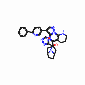 O=C(c1nnc[nH]1)N1C2CCC1CC(c1nc3c(-c4ccc(-c5ccccc5)nc4)cnn3c3c1CCCN3)C2